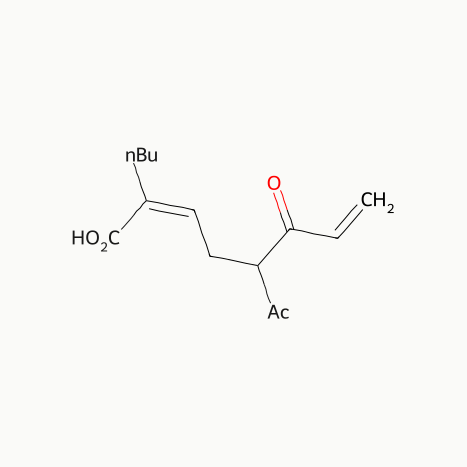 C=CC(=O)C(CC=C(CCCC)C(=O)O)C(C)=O